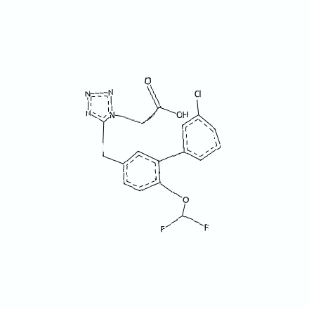 O=C(O)Cn1nnnc1Cc1ccc(OC(F)F)c(-c2cccc(Cl)c2)c1